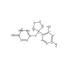 O=c1ccc(CC2(c3ccc(F)cc3Cl)OCCO2)n[nH]1